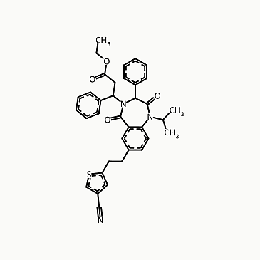 CCOC(=O)CC(c1ccccc1)N1C(=O)c2cc(CCc3cc(C#N)cs3)ccc2N(C(C)C)C(=O)C1c1ccccc1